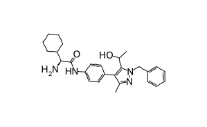 Cc1nn(Cc2ccccc2)c(C(C)O)c1-c1ccc(NC(=O)[C@@H](N)C2CCCCC2)cc1